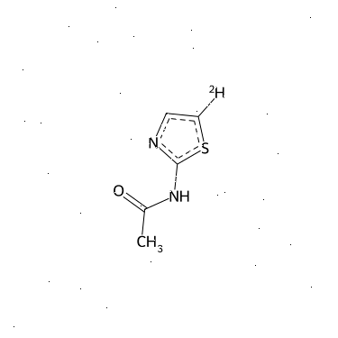 [2H]c1cnc(NC(C)=O)s1